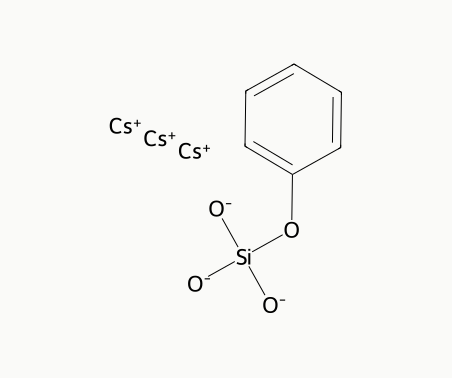 [Cs+].[Cs+].[Cs+].[O-][Si]([O-])([O-])Oc1ccccc1